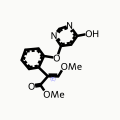 CO/C=C(/C(=O)OC)c1ccccc1Oc1cc(O)ncn1